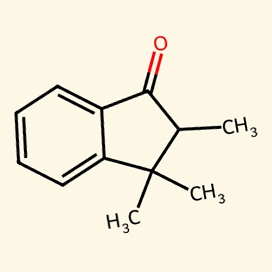 CC1C(=O)c2ccccc2C1(C)C